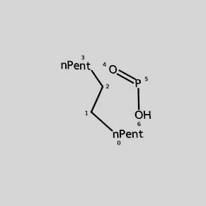 CCCCCCCCCCCC.O=PO